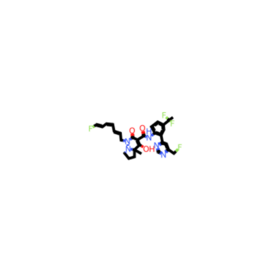 CC(F)(F)c1ccc(NC(=O)C2=C(O)C3(C)CCCN3N(C/C=C/C=C\C=C\F)C2=O)c(-c2cc(CF)ncn2)c1